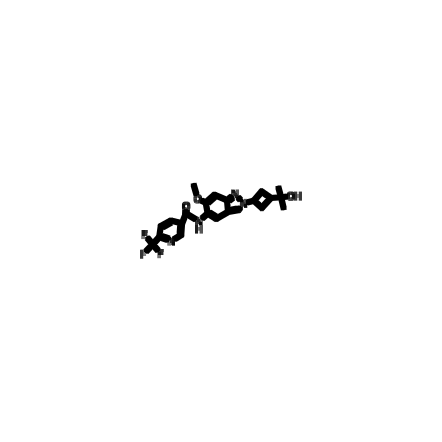 COc1cc2nn(C3CC(C(C)(C)O)C3)cc2cc1NC(=O)c1ccc(C(F)(F)F)nc1